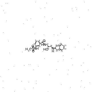 CS(=O)(=O)Nc1cccc(C(=O)NC[C@@H](O)CNC2Cc3ccccc3C2)c1